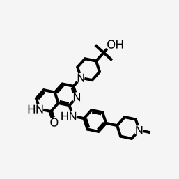 CN1CCC(c2ccc(Nc3nc(N4CCC(C(C)(C)O)CC4)cc4cc[nH]c(=O)c34)cc2)CC1